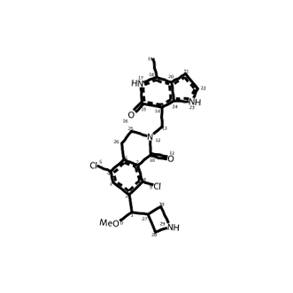 COC(c1cc(Cl)c2c(c1Cl)C(=O)N(Cc1c(=O)[nH]c(C)c3cc[nH]c13)CC2)C1CNC1